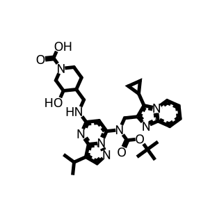 CC(C)c1cnn2c(N(Cc3nc4ccccn4c3C3CC3)C(=O)OC(C)(C)C)cc(NCC3CCN(C(=O)O)CC3O)nc12